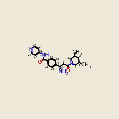 CC1CC(C)CN(C(=O)CC(N)c2ccc(C(=O)Nc3ccncc3)cc2)C1